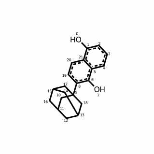 Oc1cccc2c(O)c(C34CC5CC(CC(C5)C3)C4)ccc12